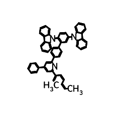 C\C=C/C=C\C(=C/C)c1cc(-c2ccccc2)cc(-c2ccc(-c3cc(-n4c5ccccc5c5ccccc54)ccc3-n3c4ccccc4c4ccccc43)cc2)n1